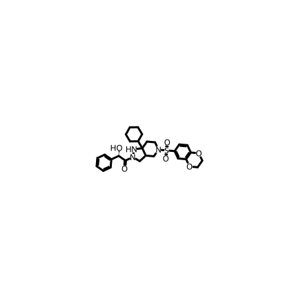 O=C([C@@H](O)c1ccccc1)N1CC2CN(S(=O)(=O)c3ccc4c(c3)OCCO4)CCC2(C2CCCCC2)N1